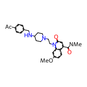 CNC(=O)c1cc(=O)n(CCN2CCC(NCc3ccc(C(C)=O)cc3)CC2)c2cc(OC)ccc12